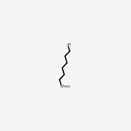 CCCC[CH]CCCCCCC(C)C